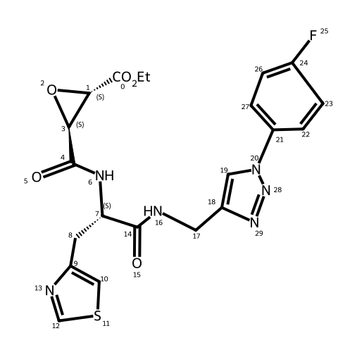 CCOC(=O)[C@H]1O[C@@H]1C(=O)N[C@@H](Cc1cscn1)C(=O)NCc1cn(-c2ccc(F)cc2)nn1